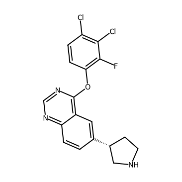 Fc1c(Oc2ncnc3ccc([C@@H]4CCNC4)cc23)ccc(Cl)c1Cl